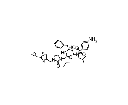 COCc1nc(CN2CCN([C@H](C(=O)N[C@@H](Cc3ccccc3)[C@@H](O)CN(CC(C)C)S(=O)(=O)c3ccc(N)cc3)C(C)C)C2=O)cs1